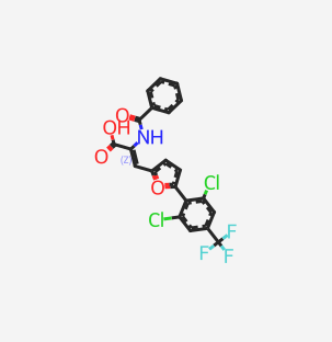 O=C(O)/C(=C/c1ccc(-c2c(Cl)cc(C(F)(F)F)cc2Cl)o1)NC(=O)c1ccccc1